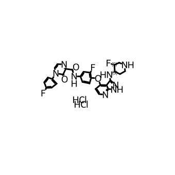 Cl.Cl.O=C(Nc1ccc(Oc2ccnc3[nH]nc(N[C@H]4CCNC[C@@H]4F)c23)c(F)c1)c1nccn(-c2ccc(F)cc2)c1=O